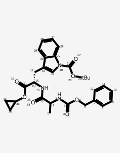 CC(NC(=O)OCc1ccccc1)C(=O)N[C@@H](Cc1cn(C(=O)OC(C)(C)C)c2ccccc12)C(=O)OC1CC1